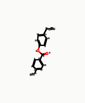 CCCc1ccc(C(=O)Oc2ccc(CC(C)CC)cc2)cc1